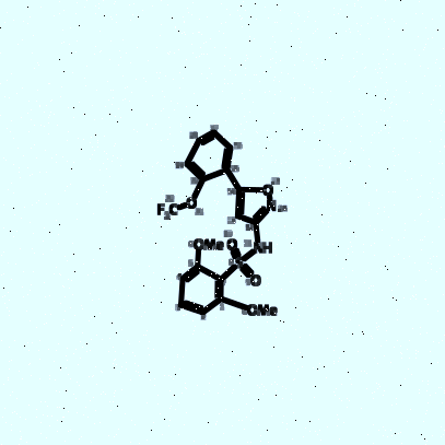 COc1cccc(OC)c1S(=O)(=O)Nc1cc(-c2ccccc2OC(F)(F)F)on1